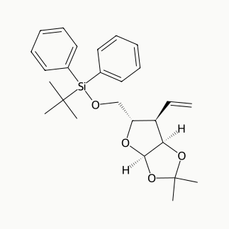 C=C[C@H]1[C@H]2OC(C)(C)O[C@H]2O[C@@H]1CO[Si](c1ccccc1)(c1ccccc1)C(C)(C)C